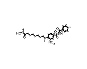 O=C(CCCCCCCNc1ccc(S(=O)(=O)NC(=O)c2ccccc2)cc1[N+](=O)[O-])NO